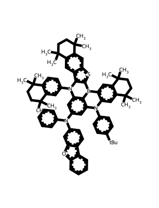 CC(C)(C)c1ccc(N2c3cc4c(cc3B3c5sc6cc7c(cc6c5N(c5ccc6c(c5)C(C)(C)CCC6(C)C)c5cc(N(c6ccccc6)c6ccc8c(c6)oc6ccccc68)cc2c53)C(C)(C)CCC7(C)C)C(C)(C)CCC4(C)C)cc1